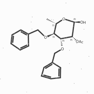 CC(=O)O[C@@H]1[C@H](OCc2ccccc2)[C@@H](OCc2ccccc2)[C@H](C)O[C@H]1O